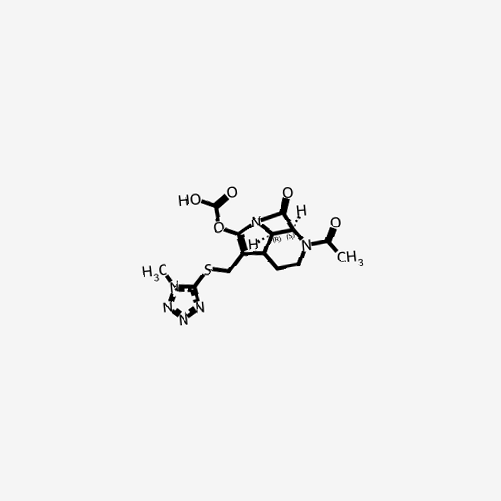 CC(=O)N1CCC2C(CSc3nnnn3C)=C(OC(=O)O)N3C(=O)[C@@H]1[C@@H]23